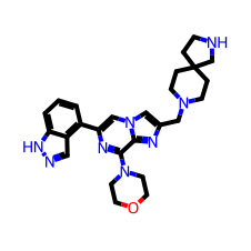 c1cc(-c2cn3cc(CN4CCC5(CCNC5)CC4)nc3c(N3CCOCC3)n2)c2cn[nH]c2c1